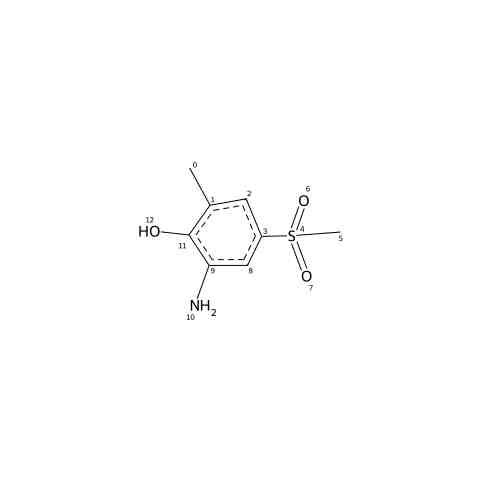 Cc1cc(S(C)(=O)=O)cc(N)c1O